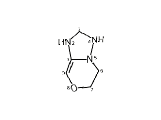 C1=C2NCNN2CCO1